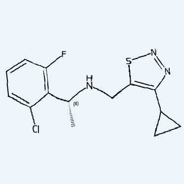 C[C@@H](NCc1snnc1C1CC1)c1c(F)cccc1Cl